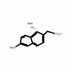 C.COc1ccc2cc(CC(=O)O)ccc2c1.[NaH]